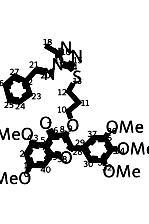 COc1cc(OC)c2c(=O)c(OCCCSc3nnc(C)n3N=Cc3ccccc3)c(-c3cc(OC)c(OC)c(OC)c3)oc2c1